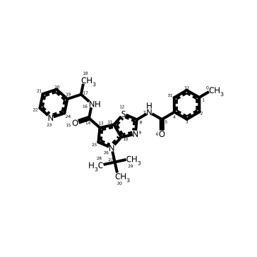 Cc1ccc(C(=O)Nc2nc3c(s2)c(C(=O)NC(C)c2cccnc2)cn3C(C)(C)C)cc1